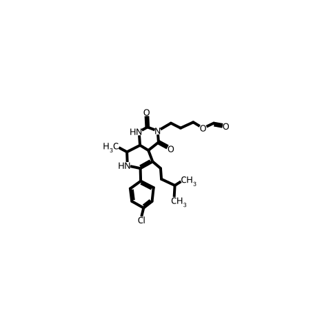 CC(C)CCC1=C(c2ccc(Cl)cc2)NC(C)C2NC(=O)N(CCCOC=O)C(=O)C12